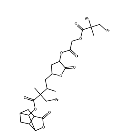 CC(C)CC(C)(C(=O)OCC(=O)OC1CC(CC(C)C(C)(CC(C)C)C(=O)OC2C3CC4C(=O)OC2C4C3)OC1=O)C(C)C